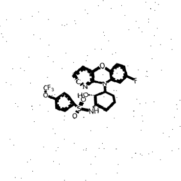 O=S(=O)(N[C@@H]1CCCC(N2c3cc(F)ccc3Oc3cccnc32)[C@H]1O)c1ccc(OC(F)(F)F)cc1